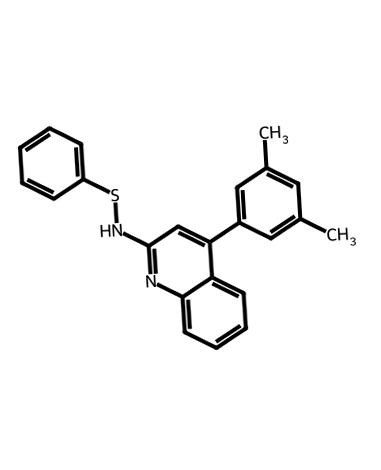 Cc1cc(C)cc(-c2cc(NSc3ccccc3)nc3ccccc23)c1